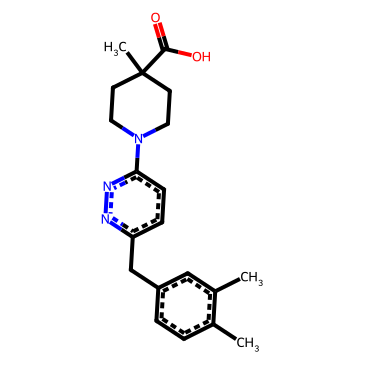 Cc1ccc(Cc2ccc(N3CCC(C)(C(=O)O)CC3)nn2)cc1C